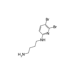 NCCCCNc1ccc(Br)c(Br)n1